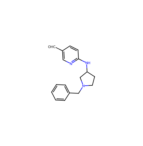 O=Cc1ccc(NC2CCN(Cc3ccccc3)C2)nc1